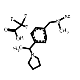 CC(=O)N(C)Cc1ccc(C(C)N2CCCC2)cc1.O=C(O)C(F)(F)F